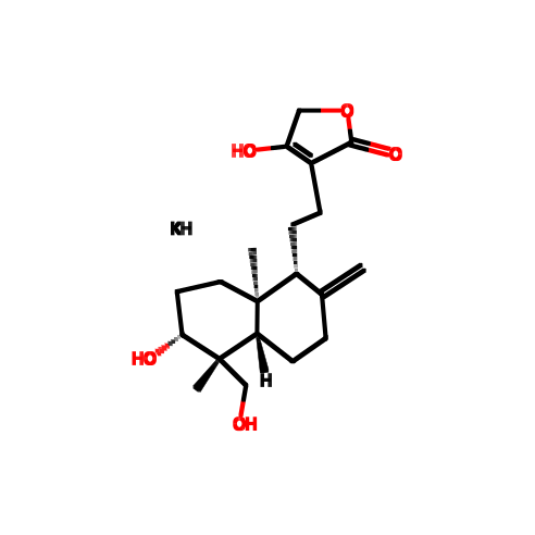 C=C1CC[C@@H]2[C@](C)(CO)[C@H](O)CC[C@@]2(C)[C@@H]1CCC1=C(O)COC1=O.[KH]